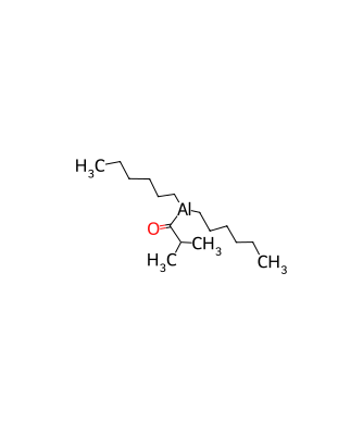 CCCCC[CH2][Al]([CH2]CCCCC)[C](=O)C(C)C